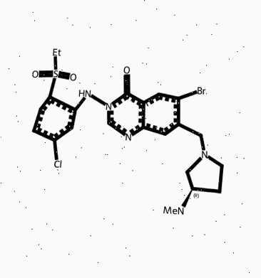 CCS(=O)(=O)c1ccc(Cl)cc1Nn1cnc2cc(CN3CC[C@@H](NC)C3)c(Br)cc2c1=O